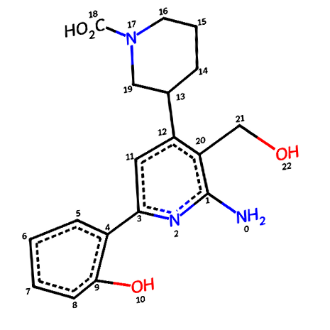 Nc1nc(-c2ccccc2O)cc(C2CCCN(C(=O)O)C2)c1CO